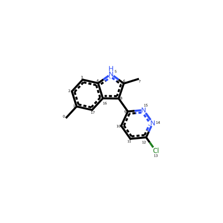 Cc1ccc2[nH]c(C)c(-c3ccc(Cl)nn3)c2c1